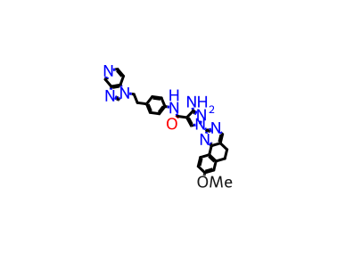 COc1ccc2c(c1)CCc1cnc(-n3cc(C(=O)Nc4ccc(CCn5cnc6cnccc65)cc4)c(N)n3)nc1-2